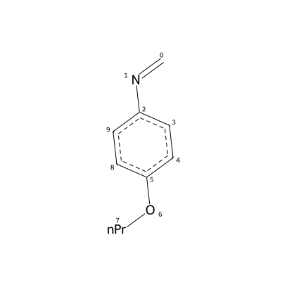 C=Nc1ccc(OCCC)cc1